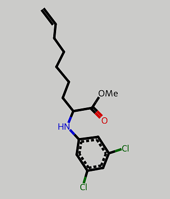 C=CCCCCCC(Nc1cc(Cl)cc(Cl)c1)C(=O)OC